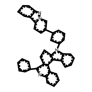 c1ccc(-c2nc3ccccc3c3c2ccc2c3c3ccccc3n2-c2cccc(-c3ccc4c5ccccc5nn4c3)c2)cc1